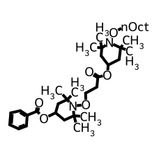 CCCCCCCCON1C(C)(C)CC(OC(=O)CCON2C(C)(C)CC(OC(=O)c3ccccc3)CC2(C)C)CC1(C)C